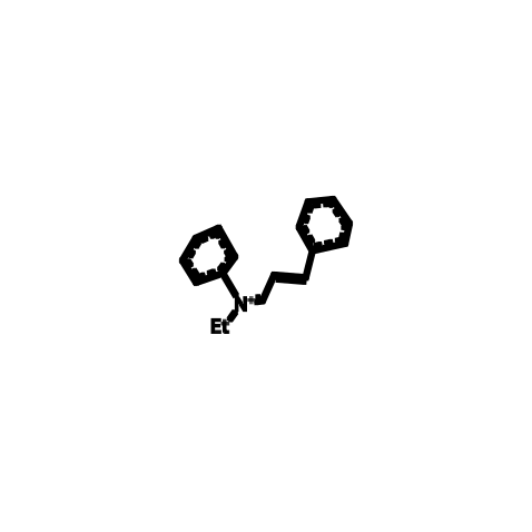 CC[N+](=CC=Cc1ccccc1)c1ccccc1